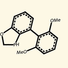 COc1cccc(OC)c1-c1cccc2c1PCO2